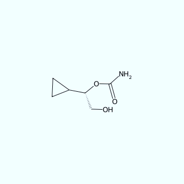 NC(=O)O[C@H](CO)C1CC1